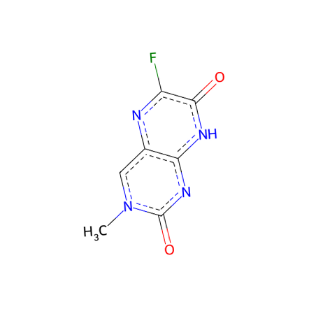 Cn1cc2nc(F)c(=O)[nH]c2nc1=O